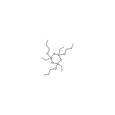 CCCO[Si]1(CC)O[Si](CC)(OCCC)O[Si](CC)(OCCC)O1